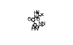 COc1cc(NC(=O)C(C#N)=CC(C)(C)C)cc(-c2cnc3[nH]cc(-c4ccncn4)c3c2)c1